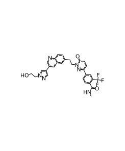 CNC(=O)c1ccc(-c2ccc(=O)n(CCc3ccc4ncc(-c5cnn(CCO)c5)cc4c3)n2)cc1C(F)(F)F